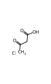 CC(=O)CC(=O)O.[C]